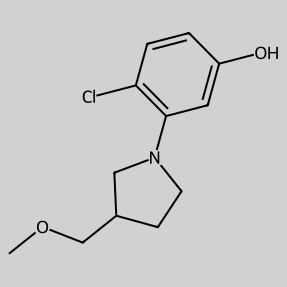 COCC1CCN(c2cc(O)ccc2Cl)C1